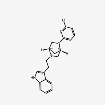 Clc1cccc(N2C[C@@H]3C[C@H]2CN3CCc2c[nH]c3ccccc23)n1